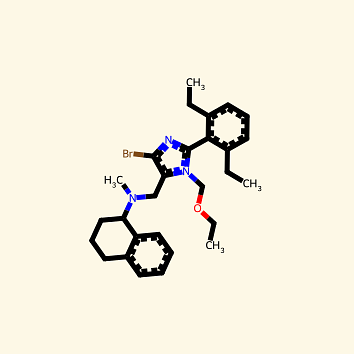 CCOCn1c(-c2c(CC)cccc2CC)nc(Br)c1CN(C)C1CCCc2ccccc21